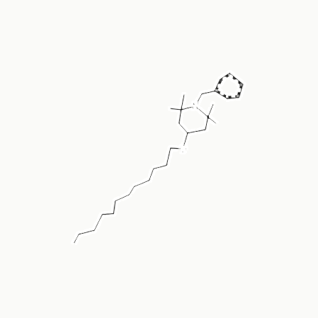 CCCCCCCCCCCCOC1CC(C)(C)N(Cc2ccccc2)C(C)(C)C1